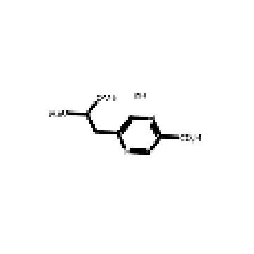 COC(Cc1cnc(C(=O)O)cn1)OC.[KH]